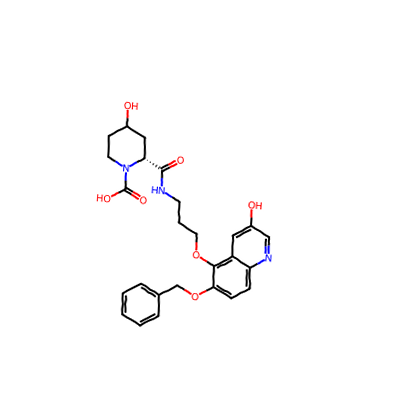 O=C(NCCCOc1c(OCc2ccccc2)ccc2ncc(O)cc12)[C@H]1CC(O)CCN1C(=O)O